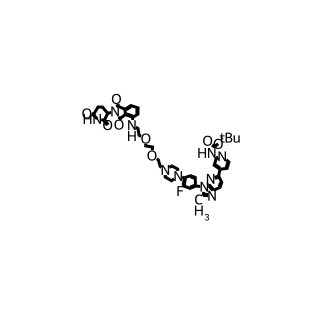 Cc1nc2ccc(-c3ccnc(NC(=O)OC(C)(C)C)c3)nc2n1-c1ccc(N2CCN(CCOCCOCCNc3cccc4c3C(=O)N(C3CCC(=O)NC3=O)C4=O)CC2)c(F)c1